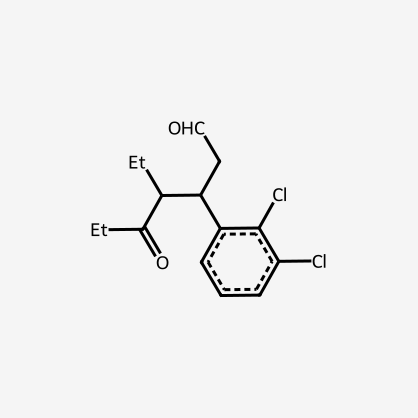 CCC(=O)C(CC)C(CC=O)c1cccc(Cl)c1Cl